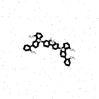 Cc1ccccc1-c1ccc2c(c1)c1c(C)cccc1n2-c1ccc(-c2ccc(-n3c4ccc(-c5ccccc5C)cc4c4c(C)cccc43)cc2C)c(C)c1